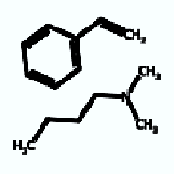 C=Cc1ccccc1.CCCCN(C)C